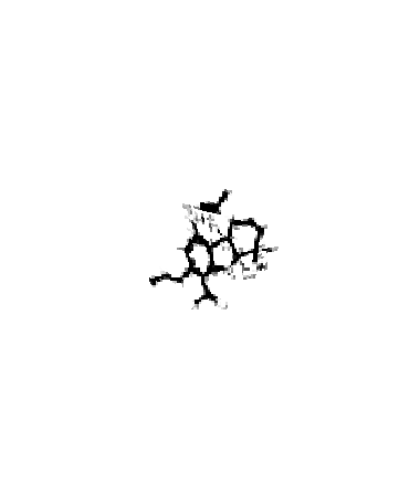 C=C(C)[C@@H]1CC[C@](C)(O)[C@H]2Oc3c(C(C)=O)c(CCC)cc(O)c3[C@@H]12